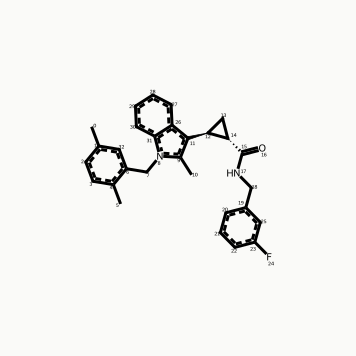 Cc1ccc(C)c(Cn2c(C)c([C@H]3C[C@@H]3C(=O)NCc3cccc(F)c3)c3ccccc32)c1